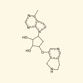 Cc1ncnc2c1ccn2C1CC(Oc2cncc3c2CNCC3)C(O)C1O